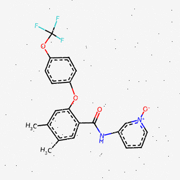 Cc1cc(Oc2ccc(OC(F)(F)F)cc2)c(C(=O)Nc2ccc[n+]([O-])c2)cc1C